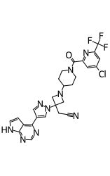 N#CCC1(n2cc(-c3ncnc4[nH]ccc34)cn2)CN(C2CCN(C(=O)c3cc(Cl)cc(C(F)(F)F)n3)CC2)C1